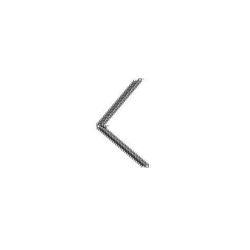 Cl.Cl.Cl.Cl.Cl.Cl.Cl.Cl.Cl.Cl.Cl.Cl.Cl.Cl.Cl.Cl.Cl.Cl.Cl.Cl.Cl.Cl.Cl.Cl.Cl.Cl.Cl.Cl.Cl.Cl.Cl.Cl.Cl.Cl.Cl.Cl.Cl.Cl.Cl.Cl.Cl.Cl.Cl.Cl.Cl.Cl.Cl.Cl.Cl.Cl.Cl.Cl.Cl.Cl.Cl.Cl.Cl.Cl.Cl.[Cl-].[Na+]